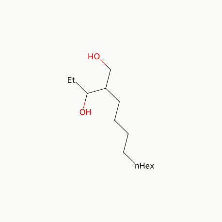 CCCCCCCCCCC(CO)C(O)CC